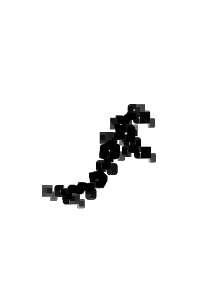 CC(C)Oc1nc(NC2CCN(C(=O)O[C@H]3CCN(C(=O)/C=C/CN(C)C)C3)CC2)c2ncc(C(C)C)n2n1